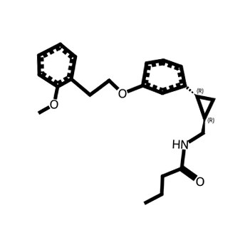 CCCC(=O)NC[C@@H]1C[C@H]1c1cccc(OCCc2ccccc2OC)c1